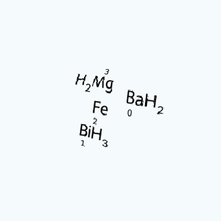 [BaH2].[BiH3].[Fe].[MgH2]